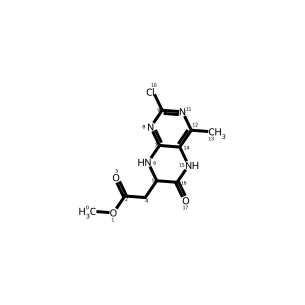 COC(=O)CC1Nc2nc(Cl)nc(C)c2NC1=O